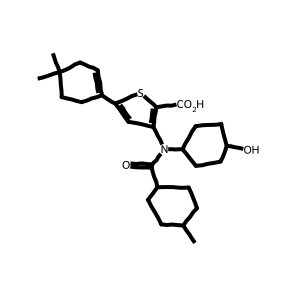 CC1CCC(C(=O)N(c2cc(C3=CCC(C)(C)CC3)sc2C(=O)O)C2CCC(O)CC2)CC1